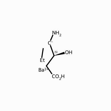 C[CH-]C.N[CH-][C@@H](O)CC(=O)O.[Ba+2]